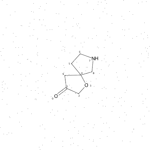 O=C1COC2(CCNC2)C1